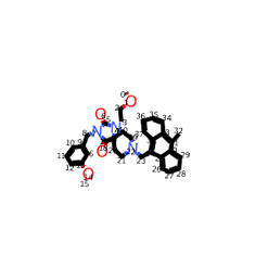 COCCN1C(=O)N(Cc2cccc(OC)c2)C(=O)C12CCN(Cc1c3ccccc3c(C)c3ccccc13)CC2